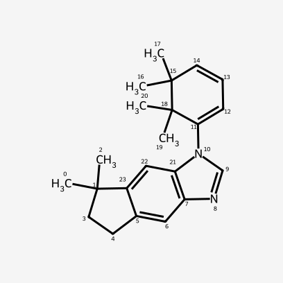 CC1(C)CCc2cc3ncn(C4=CC=CC(C)(C)C4(C)C)c3cc21